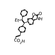 CCC(=C(c1ccc(C=CC(=O)O)cc1)c1ccc2[nH]c(=O)oc2c1)c1ccccc1